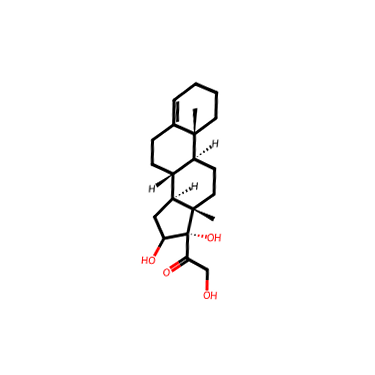 C[C@]12CCCC=C1CC[C@@H]1[C@@H]2CC[C@@]2(C)[C@H]1CC(O)[C@]2(O)C(=O)CO